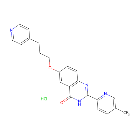 Cl.O=c1[nH]c(-c2ccc(C(F)(F)F)cn2)nc2ccc(OCCCc3ccncc3)cc12